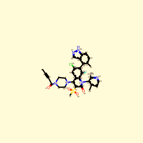 CC#CC(=O)N1CCN(c2c(S(C)(=O)=O)c(=O)n(-c3c(C)ccnc3C(C)C)c3c(F)c(-c4c(C)ccc5[nH]ncc45)c(Cl)cc23)CC1